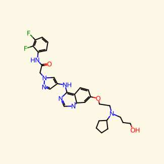 O=C(Cn1cc(Nc2ncnc3cc(OCCN(CCCO)C4CCCC4)ccc23)cn1)Nc1cccc(F)c1F